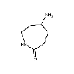 NC1CCNC(=O)CC1